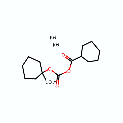 O=C(OC(=O)C1CCCCC1)OC1(C(=O)O)CCCCC1.[KH].[KH]